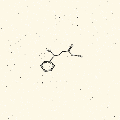 CC(C)(C)OC(=O)CCC(O)c1ccccc1